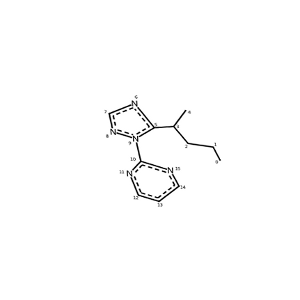 CCCC(C)c1ncnn1-c1ncccn1